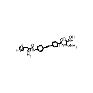 NC[C@H](NC(=O)c1ccc(C#Cc2ccc(NC(=O)[C@@H](N)Cc3c[nH]cn3)cc2)cc1)C(=O)NO